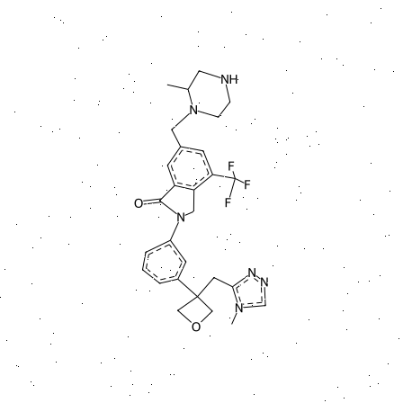 CC1CNCCN1Cc1cc2c(c(C(F)(F)F)c1)CN(c1cccc(C3(Cc4nncn4C)COC3)c1)C2=O